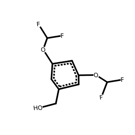 OCc1cc(OC(F)F)cc(OC(F)F)c1